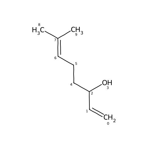 C=CC(O)CCC=C(C)C